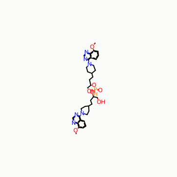 COc1cccc2c(N3CCC(CCC(CO)O[PH](=O)OC(CO)CCC4CCN(c5ncnc6c(OC)cccc56)CC4)CC3)ncnc12